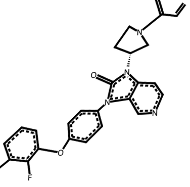 C=CC(=O)N1CC[C@@H](n2c(=O)n(-c3ccc(Oc4cccc(C)c4F)cc3)c3cnccc32)C1